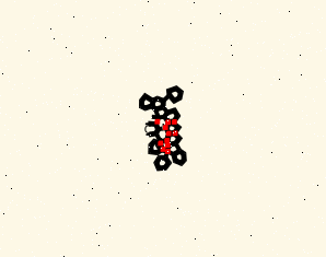 CC1(C)c2c(cccc2N(c2ccc3c(c2)C(c2ccccc2)(c2ccccc2)c2ccccc2-3)c2ccccc2-c2ccccc2-c2ccccc2)-c2c(-c3ccccc3)cc3ccccc3c21